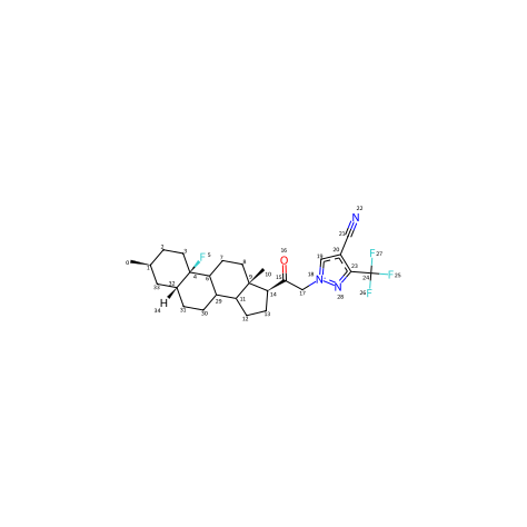 C[C@H]1CC[C@]2(F)C3CC[C@@]4(C)C(CC[C@@H]4C(=O)Cn4cc(C#N)c(C(F)(F)F)n4)C3CC[C@@H]2C1